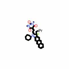 CC(C)CC1(F)/C(=C\C=C2C(=O)N(C)C(=O)N(C)C2=O)N(C2CCCCCC2)c2cc3cc4ccccc4cc3cc21